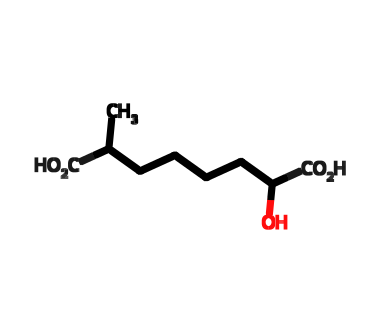 CC(CCCCC(O)C(=O)O)C(=O)O